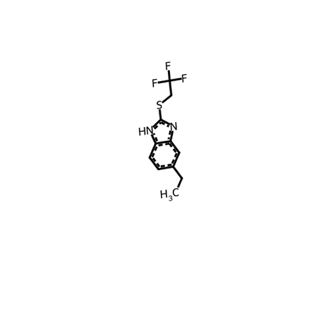 CCc1ccc2[nH]c(SCC(F)(F)F)nc2c1